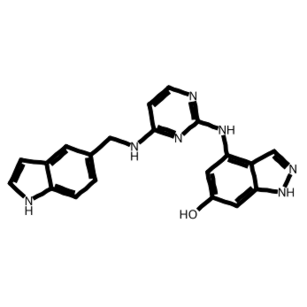 Oc1cc(Nc2nccc(NCc3ccc4[nH]ccc4c3)n2)c2cn[nH]c2c1